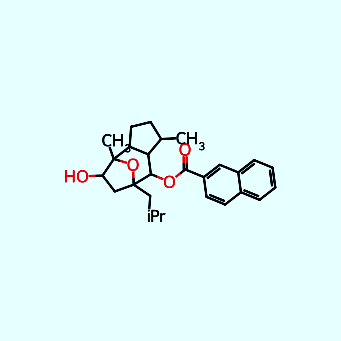 CC(C)CC12CC(O)C(C)(O1)C1CCC(C)C1C2OC(=O)c1ccc2ccccc2c1